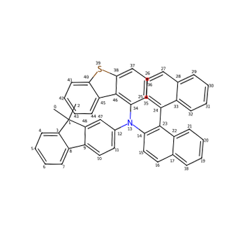 CC1(C)c2ccccc2-c2ccc(N(c3ccc4ccccc4c3-c3cccc4ccccc34)c3cccc4sc5ccccc5c34)cc21